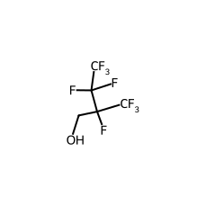 OCC(F)(C(F)(F)F)C(F)(F)C(F)(F)F